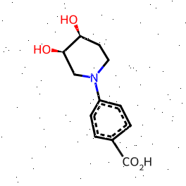 O=C(O)c1ccc(N2CC[C@H](O)[C@H](O)C2)cc1